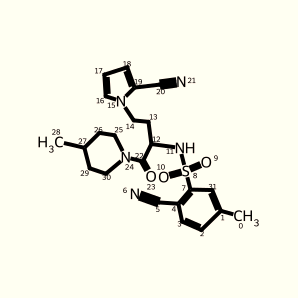 Cc1ccc(C#N)c(S(=O)(=O)NC(CCn2cccc2C#N)C(=O)N2CCC(C)CC2)c1